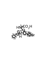 O=C(NC(CC(=O)C1NCC1C(=O)O)c1ccc(-c2ncc(Br)cn2)cc1)OCc1ccccc1